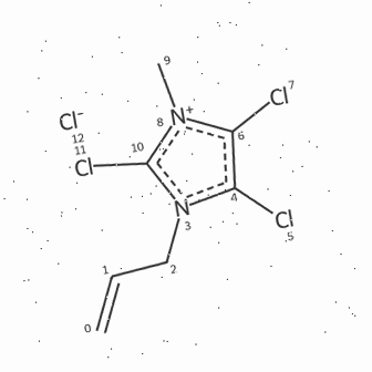 C=CCn1c(Cl)c(Cl)[n+](C)c1Cl.[Cl-]